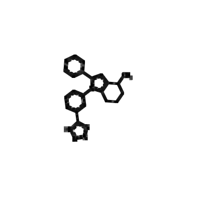 CC1CCCc2c1cc(-c1ccccc1)n2-c1cccc(-c2nnn[nH]2)c1